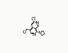 O=Cc1cnc(N2CCC2)c2cnc(Cl)cc12